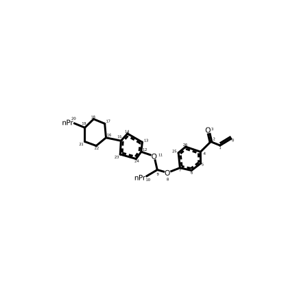 C=CC(=O)c1ccc(OC(CCC)Oc2ccc(C3CCC(CCC)CC3)cc2)cc1